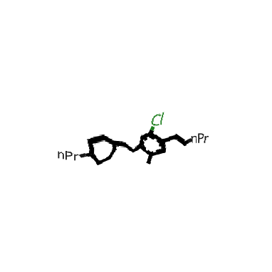 CCC/C=C/c1cc(C)c(CCC2CCC(CCC)CC2)cc1Cl